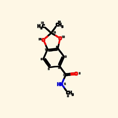 CNC(=O)c1ccc2c(c1)OC(C)(C)O2